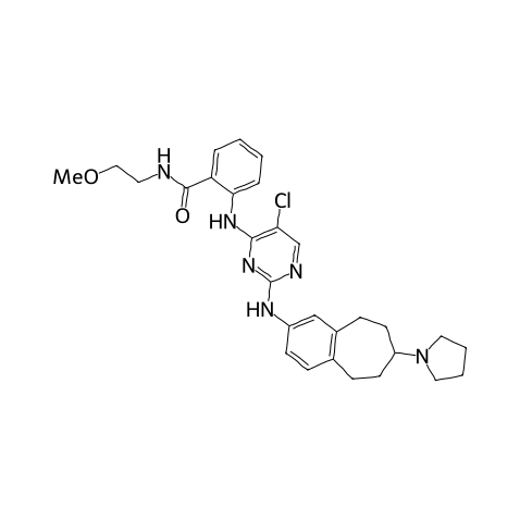 COCCNC(=O)c1ccccc1Nc1nc(Nc2ccc3c(c2)CCC(N2CCCC2)CC3)ncc1Cl